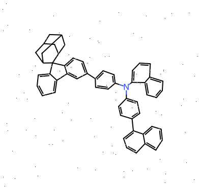 c1ccc2c(c1)-c1cc(-c3ccc(N(c4ccc(-c5cccc6ccccc56)cc4)c4cccc5ccccc45)cc3)ccc1C21C2CC3CC(C2)CC1C3